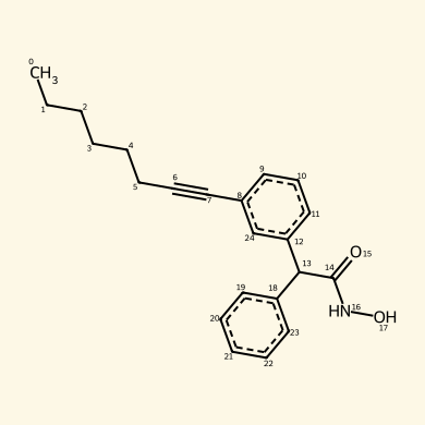 CCCCCCC#Cc1cccc(C(C(=O)NO)c2ccccc2)c1